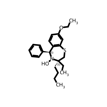 CCCC[C@@]1(CC)CSc2cc(OCC)ccc2[C@H](c2ccccc2)N1O